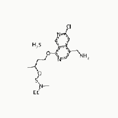 CCN(C)SOC(C)CCOc1ncc(CN)c2cc(Cl)ncc12.S